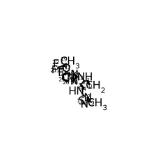 C=CC(/C=C/Nc1nc(C)ns1)Nc1nc2c(OC(C)C(F)(F)F)cccn2n1